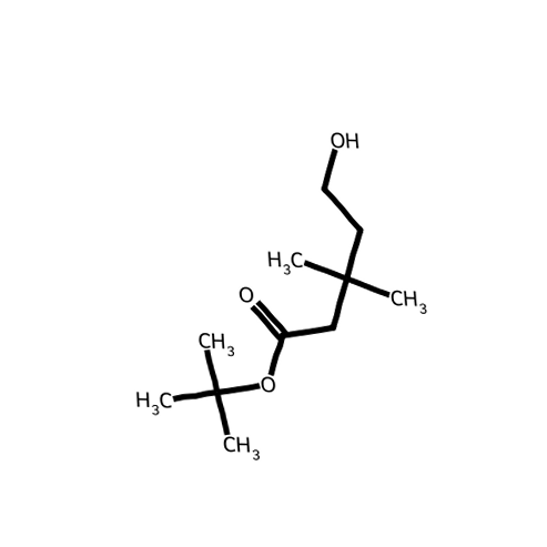 CC(C)(CCO)CC(=O)OC(C)(C)C